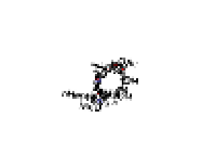 C=C1C[C@H]2C[C@H]3C[C@@H](OC(C)=O)C[C@@H](C[C@@H](O)CC(=O)O[C@@H]([C@@H](C)O)C[C@@H]4C/C(=C\C(=O)OC)[C@H](OC(=O)CCCCCCC)[C@@](O)(O4)C(C)(C)/C=C/[C@@H](C1)O2)O3